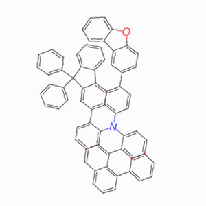 c1ccc(-c2cccc3cccc(-c4ccccc4N(c4ccc(-c5ccc6oc7ccccc7c6c5)cc4)c4ccccc4-c4ccc5c(c4)C(c4ccccc4)(c4ccccc4)c4ccccc4-5)c23)cc1